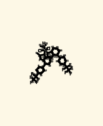 CC1=Cc2c(-c3ccc(C(F)(F)C(F)(F)F)cc3)cccc2[CH]1[Zr]([Cl])([Cl])([CH]1C(C)=Cc2c(-c3ccc(C(F)(F)C(F)(F)F)cc3)cccc21)[SiH](C)C